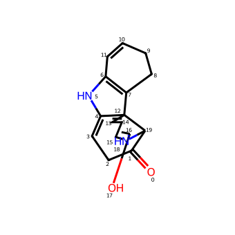 O=C1CC=C2NC3=C(CCC=C3)C23C=CC=C(O)NC13